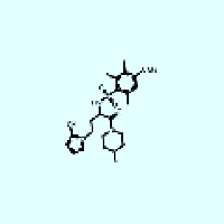 COc1cc(C)c(S(=O)(=O)NC(CCn2cccc2C#N)C(=O)N2CCC(C)CC2)c(C)c1C